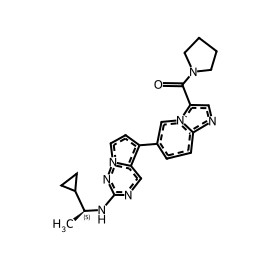 C[C@H](Nc1ncc2c(-c3ccc4ncc(C(=O)N5CCCC5)n4c3)ccn2n1)C1CC1